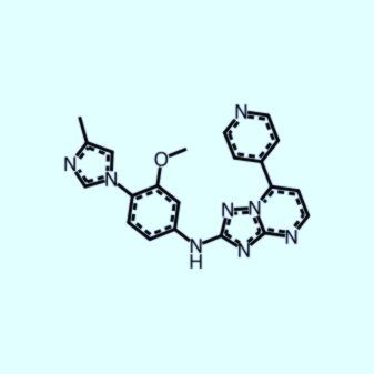 COc1cc(Nc2nc3nccc(-c4ccncc4)n3n2)ccc1-n1cnc(C)c1